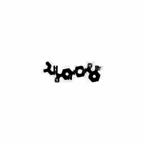 CCC(C)CNC(=O)c1ccc(N2CCN(C(=O)c3ccccc3Br)CC2)nc1